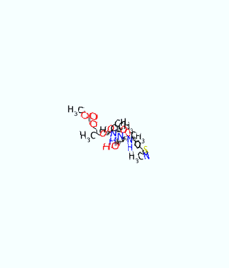 CCOC(=O)COCCC(C)COCC(=O)N[C@H](C(=O)N1C[C@H](O)C[C@H]1C(=O)N[C@@H](C)c1ccc(-c2scnc2C)cc1)C(C)(C)C